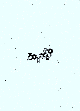 CN1Cc2cc(Nc3ncc4c(=O)n(-c5c(F)cccc5Cl)c5nccn5c4n3)ccc2C2(CC2)C1